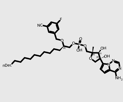 CCCCCCCCCCCCCCCCCCCC[C@H](COP(=O)(O)OC[C@@]1(C)OC[C@](O)(c2ccc3c(N)ncnn23)[C@@H]1O)OCc1cc(F)cc(C#N)c1